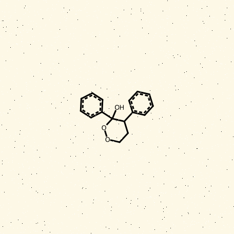 OC1(c2ccccc2)OOCCC1c1ccccc1